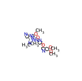 CCOc1cn(-c2cnccc2CCN(C)C)nc1C(=O)Nc1ccc(Oc2ccnc3cc(OC)c(OC)cc23)cn1